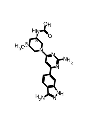 C[C@@H]1C[C@@H](NC(=O)O)CN(c2cc(-c3ccc4c(N)n[nH]c4c3)nc(N)n2)C1